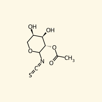 CC(=O)O[C@@H]1C(N=C=S)OC[C@@H](O)[C@H]1O